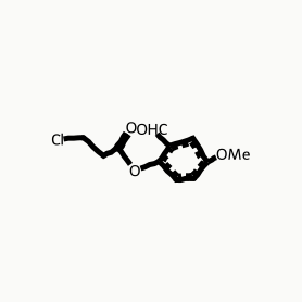 COc1ccc(OC(=O)CCCl)c(C=O)c1